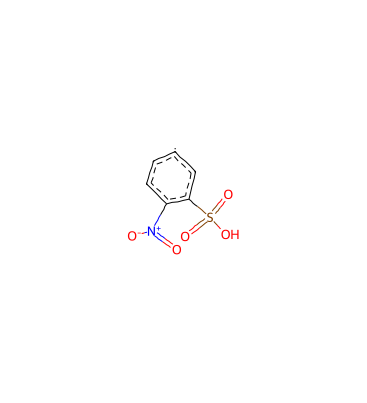 O=[N+]([O-])c1cc[c]cc1S(=O)(=O)O